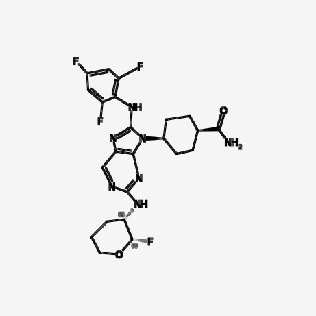 NC(=O)[C@H]1CC[C@@H](n2c(Nc3c(F)cc(F)cc3F)nc3cnc(N[C@H]4CCCO[C@H]4F)nc32)CC1